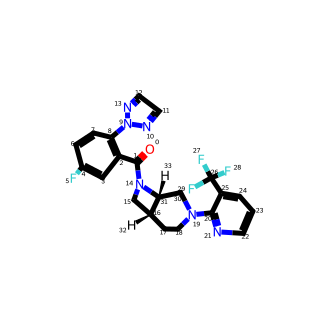 O=C(c1cc(F)ccc1-n1nccn1)N1C[C@H]2CCN(c3ncccc3C(F)(F)F)C[C@H]21